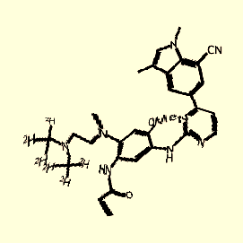 [2H]C([2H])([2H])N(CCN(C)c1cc(OC)c(Nc2nccc(-c3cc(C#N)c4c(c3)c(C)cn4C)n2)cc1NC(=O)C=C)C([2H])([2H])[2H]